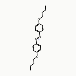 CCCCOc1ccc(/N=N/c2ccc(OCCCC)cc2)cc1